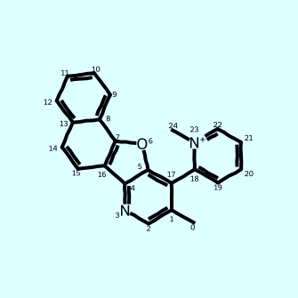 Cc1cnc2c(oc3c4ccccc4ccc23)c1-c1cccc[n+]1C